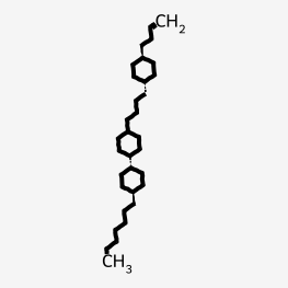 C=CCC[C@H]1CC[C@H](CCCCC2CCC([C@H]3CC[C@H](CCCCCCC)CC3)CC2)CC1